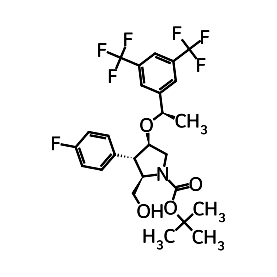 C[C@@H](O[C@H]1CN(C(=O)OC(C)(C)C)[C@@H](CO)[C@@H]1c1ccc(F)cc1)c1cc(C(F)(F)F)cc(C(F)(F)F)c1